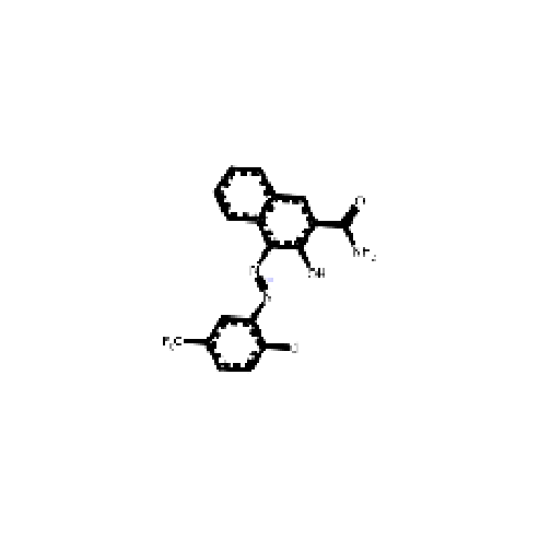 NC(=O)c1cc2ccccc2c(/N=N/c2cc(C(F)(F)F)ccc2Cl)c1O